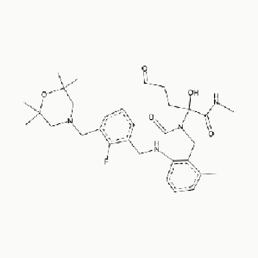 CNC(=O)C(O)(CCC=O)N(C=O)Cc1c(C)cccc1NCc1cccc(CN2CC(C)(C)OC(C)(C)C2)c1F